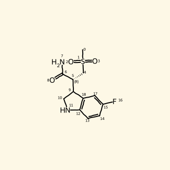 CS(=O)(=O)C[C@@H](C(N)=O)C1CNc2ccc(F)cc21